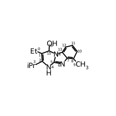 CCC1=C(C(C)C)Nc2nc3c(C)cccc3n2C1O